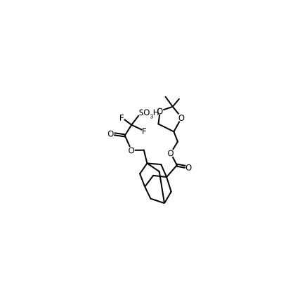 CC1(C)OCC(COC(=O)C23CC4CC(CC(COC(=O)C(F)(F)S(=O)(=O)O)(C4)C2)C3)O1